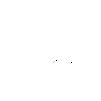 COc1cccc(NC(=O)[C@H]2CC[C@H]3[C@@H]4CCC5OC(C=O)CC[C@]5(C)[C@H]4CC[C@]23C)c1